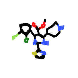 COC(=O)C1=C(C2CCNCC2)NC(c2nccs2)=NC1c1cccc(F)c1Cl